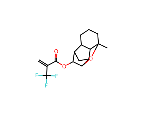 C=C(C(=O)OC1C2CC3C1OC1(C)CCCC2C31)C(F)(F)F